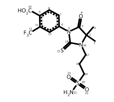 CC1(C)C(=O)N(c2ccc(C(=O)O)c(C(F)(F)F)c2)C(=S)N1CCCS(N)(=O)=O